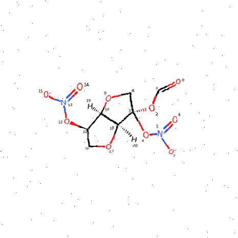 O=CO[C@@]1(O[N+](=O)[O-])CO[C@@H]2[C@H](O[N+](=O)[O-])CO[C@@H]21